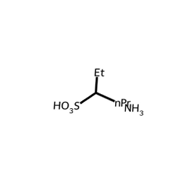 CCCC(CC)S(=O)(=O)O.N